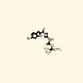 CC(C)(C)OC(=O)NC1CN(C(=O)c2cc3ccc(Br)cc3[nH]2)C1